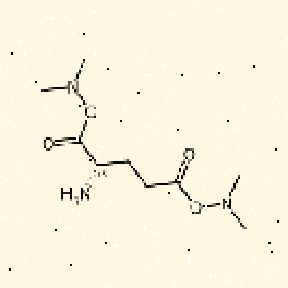 CN(C)OC(=O)CC[C@H](N)C(=O)ON(C)C